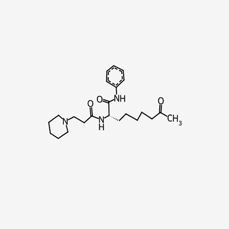 CC(=O)CCCCC[C@H](NC(=O)CCN1CCCCC1)C(=O)Nc1ccccc1